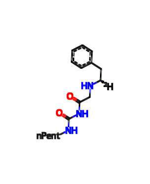 [2H][C@H](Cc1ccccc1)NCC(=O)NC(=O)NCCCCC